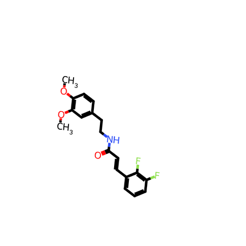 COc1ccc(CCNC(=O)C=Cc2cccc(F)c2F)cc1OC